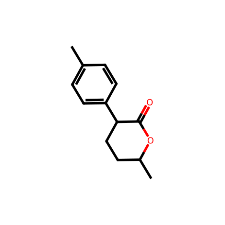 Cc1ccc(C2CCC(C)OC2=O)cc1